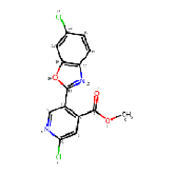 COC(=O)c1cc(Cl)ncc1-c1nc2ccc(Cl)cc2o1